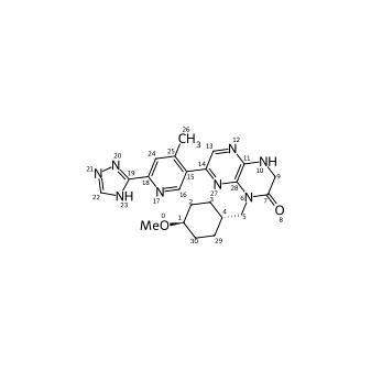 CO[C@H]1CC[C@H](CN2C(=O)CNc3ncc(-c4cnc(-c5nnc[nH]5)cc4C)nc32)CC1